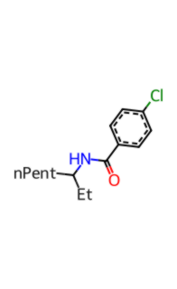 CCCCCC(CC)NC(=O)c1ccc(Cl)cc1